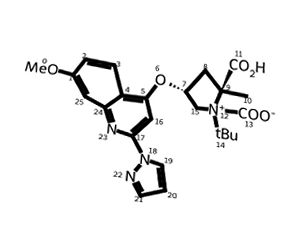 COc1ccc2c(O[C@@H]3C[C@@](C)(C(=O)O)[N+](C(=O)[O-])(C(C)(C)C)C3)cc(-n3cccn3)nc2c1